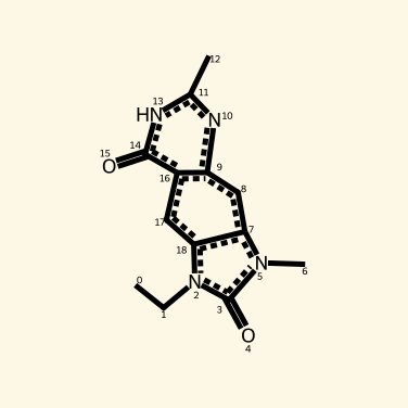 CCn1c(=O)n(C)c2cc3nc(C)[nH]c(=O)c3cc21